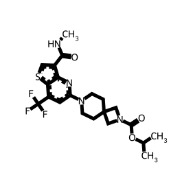 CNC(=O)c1csc2c(C(F)(F)F)cc(N3CCC4(CC3)CN(C(=O)OC(C)C)C4)nc12